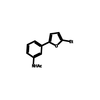 CCc1ccc(-c2cccc(NC(C)=O)c2)o1